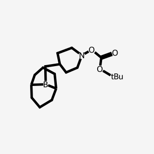 CC(C)(C)OC(=O)ON1CCC(CB2C3CCCC2CCC3)CC1